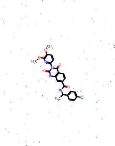 COc1ccc(-n2c(=O)[nH]c3cc(C(=O)NC(C)c4ccc(Cl)cc4)ccc3c2=O)nc1OC